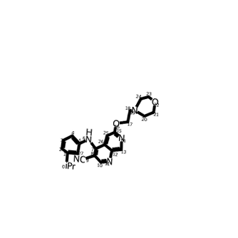 CC(C)c1cccc(Nc2c(C#N)cnc3cnc(OCCN4CCOCC4)cc23)c1